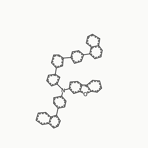 c1cc(-c2ccc(-c3cccc4ccccc34)cc2)cc(-c2cccc(N(c3ccc(-c4cccc5ccccc45)cc3)c3ccc4c(c3)oc3ccccc34)c2)c1